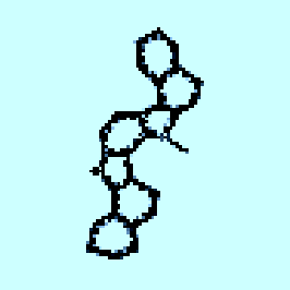 Cn1c2ccc3ccccc3c2c2ccc3[nH]c4c5ccccc5ccc4c3c21